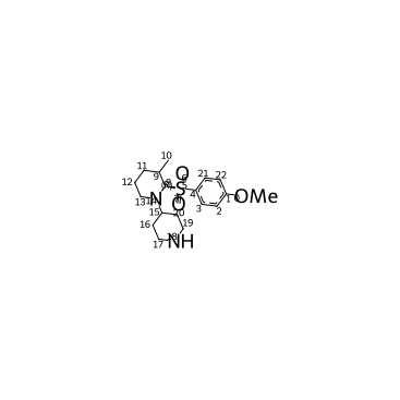 COc1ccc(S(=O)(=O)[C@@H]2C(C)CCCN2C2CCNCC2)cc1